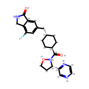 O=C1NCc2c(F)cc(C[C@H]3CC[C@H](C(=O)N4OCC[C@H]4c4cnccn4)CC3)cc21